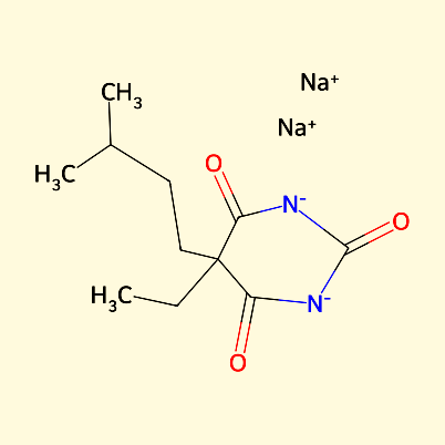 CCC1(CCC(C)C)C(=O)[N-]C(=O)[N-]C1=O.[Na+].[Na+]